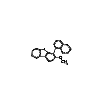 COc1ccc2c(c1-c1cccc3ccccc13)[CH]c1ccccc1-2